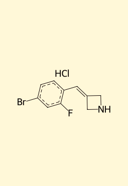 Cl.Fc1cc(Br)ccc1C=C1CNC1